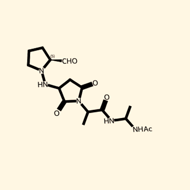 CC(=O)NC(C)NC(=O)C(C)N1C(=O)CC(NN2CCC[C@H]2C=O)C1=O